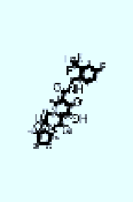 O=C(NCc1ccc(F)cc1C(F)(F)F)c1cn2c(c(O)c1=O)C(=O)N1C3CC[C@@H](C3)O[C@@H]1C2